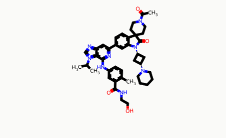 CC(=O)N1CCC2(CC1)C(=O)N([C@H]1C[C@@H](N3CCCCC3)C1)c1cc(-c3cc4ncn(C(C)C)c4c(Nc4ccc(C)c(C(=O)NCCO)c4)n3)ccc12